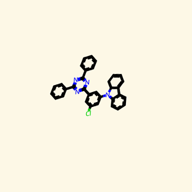 Clc1cc(-c2nc(-c3ccccc3)nc(-c3ccccc3)n2)cc(N2c3ccccc3C3=CC=CCC32)c1